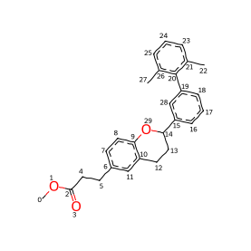 COC(=O)CCc1ccc2c(c1)CCC(c1cccc(-c3c(C)cccc3C)c1)O2